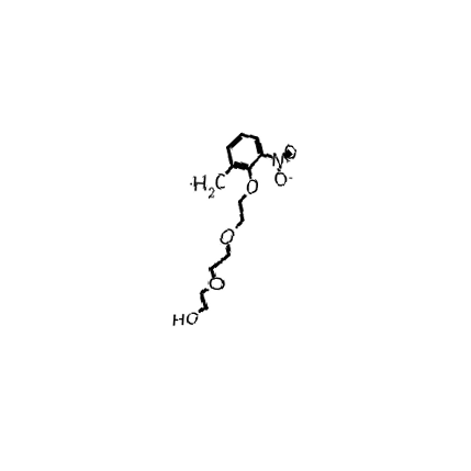 [CH2]c1cccc([N+](=O)[O-])c1OCCOCCOCCO